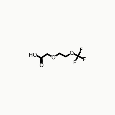 O=C(O)COCCOC(F)(F)F